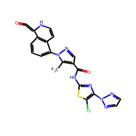 O=C=C1NC=Cc2c1cccc2-n1ncc(C(=O)Nc2nc(-n3nccn3)c(Cl)s2)c1C(F)(F)F